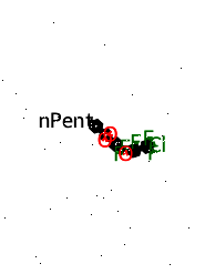 CCCCCC1CCC(C2COC(C3CCC(C(F)(F)Oc4ccc(-c5cc(F)c(Cl)c(F)c5)c(F)c4)CC3)OC2)CC1